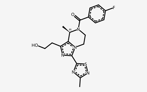 Cc1nsc(-c2nc(CCO)c3n2CCN(C(=O)c2ccc(F)cc2)[C@@H]3C)n1